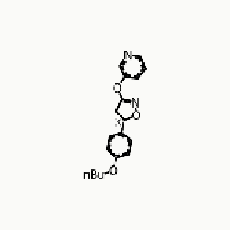 CCCCOc1ccc([C@H]2CC(Oc3cccnc3)=NO2)cc1